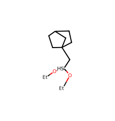 CCO[SiH](CC12CCC(CC1)C2)OCC